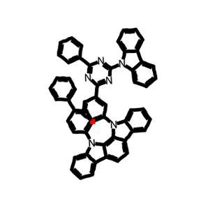 c1ccc(-c2ccc(-n3c4ccccc4c4ccc5c6ccccc6n(-c6cccc(-c7nc(-c8ccccc8)nc(-n8c9ccccc9c9ccccc98)n7)c6)c5c43)cc2)cc1